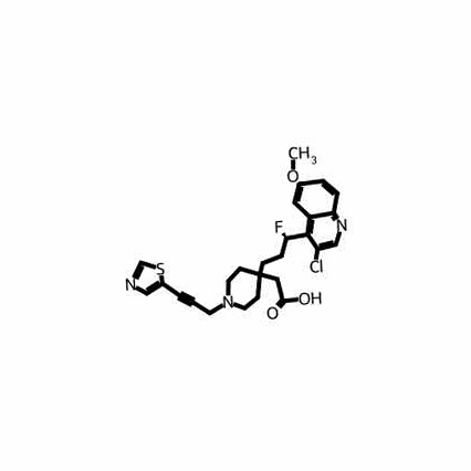 COc1ccc2ncc(Cl)c([C@H](F)CCC3(CC(=O)O)CCN(CC#Cc4cncs4)CC3)c2c1